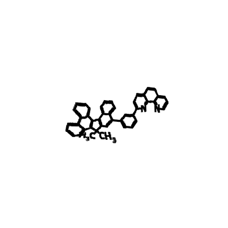 CC1(C)c2cc(-c3cccc(-c4ccc5ccc6cccnc6c5n4)c3)c3ccccc3c2-c2c1c1ccccc1c1ccccc21